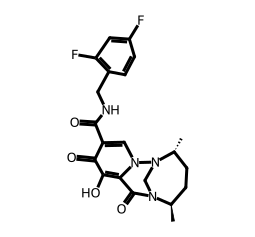 C[C@@H]1CC[C@@H](C)N2CN1C(=O)c1c(O)c(=O)c(C(=O)NCc3ccc(F)cc3F)cn12